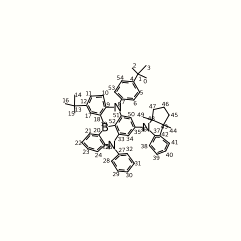 CC(C)(C)c1ccc(N2c3ccc(C(C)(C)C)cc3B3c4ccccc4N(c4ccccc4)c4cc(N5c6ccccc6C6(C)CCCC56C)cc2c43)cc1